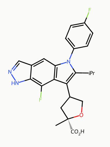 CC(C)c1c(C2CO[C@](C)(C(=O)O)C2)c2c(F)c3[nH]ncc3cc2n1-c1ccc(F)cc1